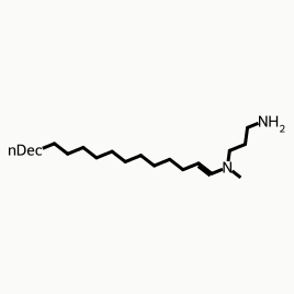 CCCCCCCCCCCCCCCCCCCCC=CN(C)CCCN